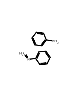 C=Nc1ccccc1.Nc1ccccc1